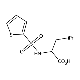 CC(C)CC(NS(=O)(=O)c1cccs1)C(=O)O